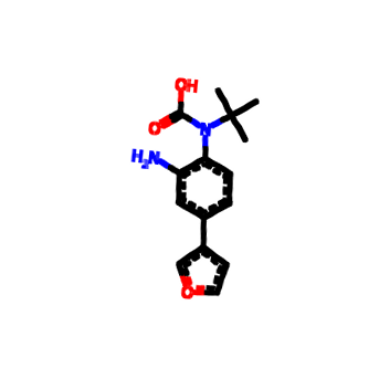 CC(C)(C)N(C(=O)O)c1ccc(-c2ccoc2)cc1N